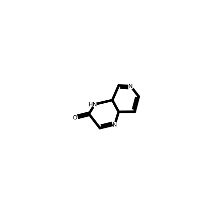 O=C1C=NC2C=CN=CC2N1